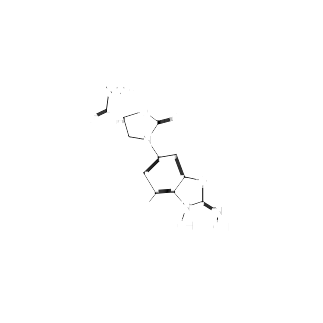 CN=c1oc2cc(N3C[C@H](C(=O)NC)OC3=O)cc(F)c2n1C